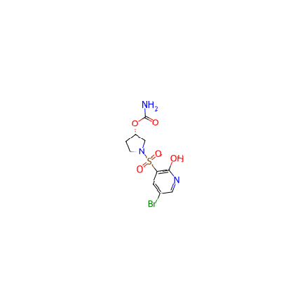 NC(=O)O[C@H]1CCN(S(=O)(=O)c2cc(Br)cnc2O)C1